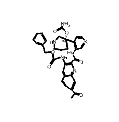 CC(=O)c1ccc2cc(NC(=O)OCc3ccccc3)c(C(=O)Nc3cnccc3[C@@]3(OC(N)=O)CCCNC3)nc2c1